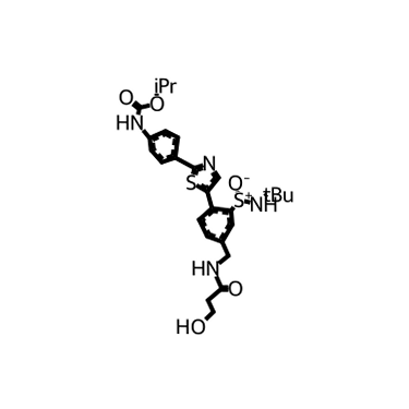 CC(C)OC(=O)Nc1ccc(-c2ncc(-c3ccc(CNC(=O)CCO)cc3[S+]([O-])NC(C)(C)C)s2)cc1